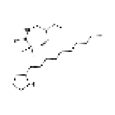 CCC1CNC(=O)C(C)(C)C=N1.CCCCCCCCCCC1CCCN1